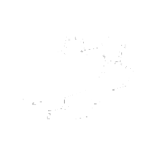 C=CC(=O)N1CCC(Oc2cnc3[nH]cc(-c4nnco4)c3n2)CC1